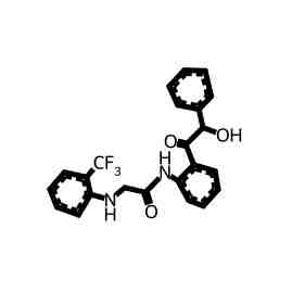 O=C(CNc1ccccc1C(F)(F)F)Nc1ccccc1C(=O)C(O)c1ccccc1